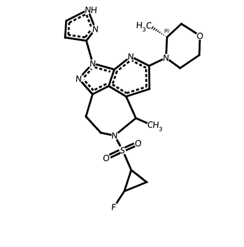 CC1c2cc(N3CCOC[C@H]3C)nc3c2c(nn3-c2cc[nH]n2)CCN1S(=O)(=O)C1CC1F